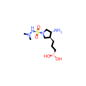 CN(C)NS(=O)(=O)N1C[C@H](CCCB(O)O)[C@@H](N)C1